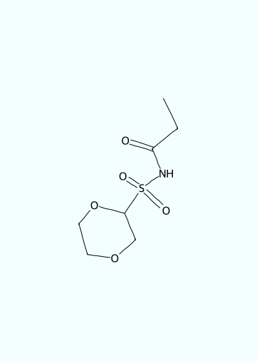 CCC(=O)NS(=O)(=O)C1COCCO1